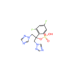 O=S(=O)(O)OC(Cn1cncn1)(Cn1cncn1)c1ccc(F)cc1F